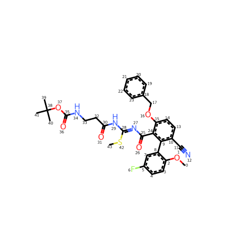 COc1ccc(F)cc1-c1c(C#N)ccc(OCc2ccccc2)c1C(=O)/N=C(/NC(=O)CCNC(=O)OC(C)(C)C)SC